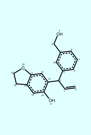 C=CC(c1cccc(CO)c1)c1cc2c(cc1O)CCO2